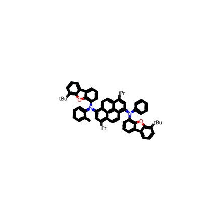 Cc1ccccc1N(c1cc(C(C)C)c2ccc3c(N(c4ccccc4)c4cccc5c4oc4c(C(C)(C)C)cccc45)cc(C(C)C)c4ccc1c2c43)c1cccc2c1oc1c(C(C)(C)C)cccc12